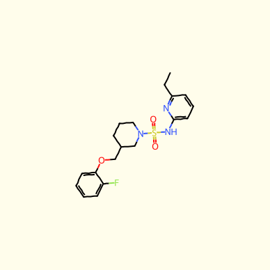 CCc1cccc(NS(=O)(=O)N2CCCC(COc3ccccc3F)C2)n1